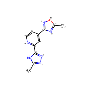 Cc1nnc(-c2cc(-c3noc(C(F)(F)F)n3)ccn2)[nH]1